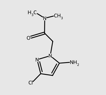 CN(C)C(=O)Cn1nc(Cl)cc1N